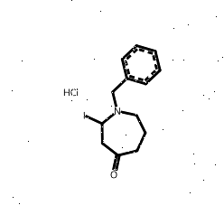 Cl.O=C1CCCN(Cc2ccccc2)C(I)C1